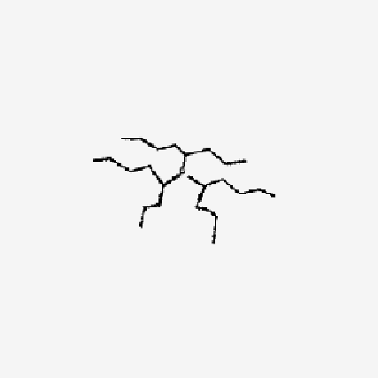 CCCCC(CCC)P(C(CCC)CCCC)C(CCC)CCCC